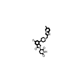 Cc1ccc2nc(CN3CCC(c4cc(F)cc5c4CN(C4CCC(=O)NC4=O)C5=O)CC3)cn2c1